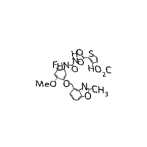 COc1cc(F)c(NC(=O)NOC(=O)c2sccc2C(=O)O)cc1OCc1cccc2oc(C)nc12